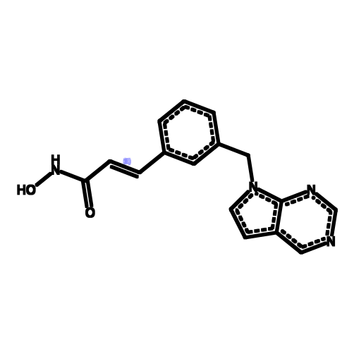 O=C(/C=C/c1cccc(Cn2ccc3cncnc32)c1)NO